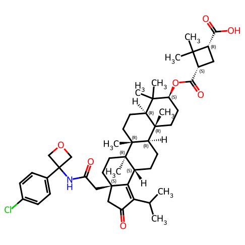 CC(C)C1=C2[C@H]3CC[C@@H]4[C@@]5(C)CC[C@H](OC(=O)[C@H]6C[C@@H](C(=O)O)C6(C)C)C(C)(C)[C@@H]5CC[C@@]4(C)[C@]3(C)CC[C@@]2(CC(=O)NC2(c3ccc(Cl)cc3)COC2)CC1=O